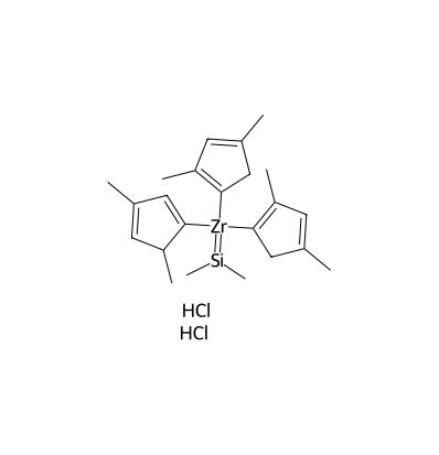 CC1=CC(C)[C]([Zr]([C]2=C(C)C=C(C)C2)([C]2=C(C)C=C(C)C2)=[Si](C)C)=C1.Cl.Cl